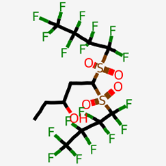 CCC(O)CC(S(=O)(=O)C(F)(F)C(F)(F)C(F)(F)C(F)(F)F)S(=O)(=O)C(F)(F)C(F)(F)C(F)(F)C(F)(F)F